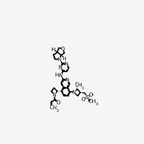 C=CC(=O)N1CC[C@@H]1c1ccc(N2C[C@H](CS(C)(=O)=O)[C@H]2C)c2cnc(Nc3ccnc(N4CC[C@@H]5COC[C@@H]54)n3)cc12